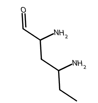 CCC(N)CC(N)C=O